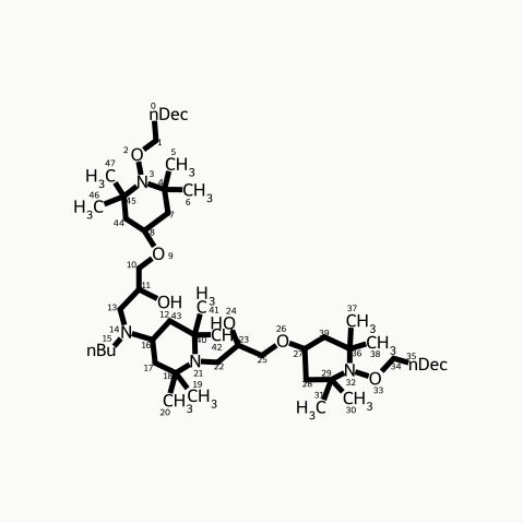 CCCCCCCCCCCON1C(C)(C)CC(OCC(O)CN(CCCC)C2CC(C)(C)N(CC(O)COC3CC(C)(C)N(OCCCCCCCCCCC)C(C)(C)C3)C(C)(C)C2)CC1(C)C